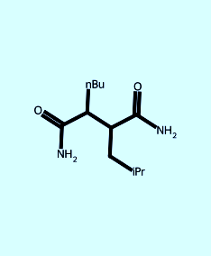 CCCCC(C(N)=O)C(CC(C)C)C(N)=O